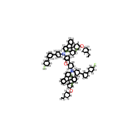 C=CC1=CCC(OC2=CC=C(C3(C4=C(F)CCC=C4F)c4ccccc4-c4ccc(N(c5ccc6c(c5)OC5CC(N(C7=CCC(C8=CCCC(C9C=CC(F)=CC9)=C8)C=C7)c7ccc8c(c7)C(C7=CCC(OC9=CCC(C=C)CC9)C=C7)(c7c(F)cccc7F)c7ccccc7-8)C=CC65)C5C=CC(c6cccc(C7=CCC(F)C=C7)c6)=CC5)cc43)CC2)C=C1